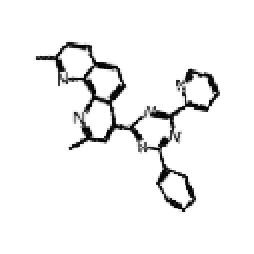 Cc1ccc2ccc3c(-c4nc(-c5ccccc5)nc(-c5ccccn5)n4)cc(C)nc3c2n1